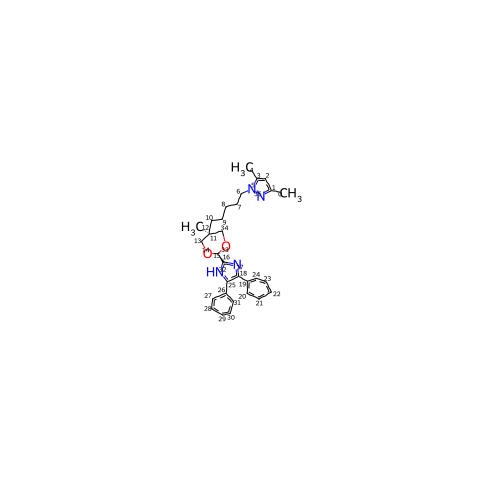 Cc1cc(C)n(CCCCC[C@]2(C)CO[C@H](c3nc(-c4ccccc4)c(-c4ccccc4)[nH]3)OC2)n1